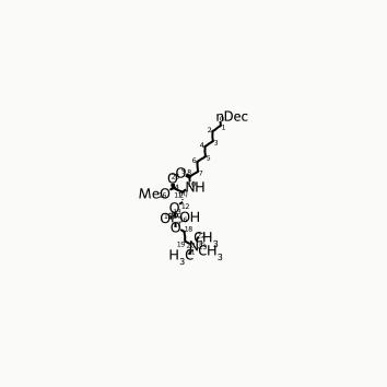 CCCCCCCCCCCCCCCCCC(=O)N[C@H](COP(=O)(O)OCC[N+](C)(C)C)C(=O)OC